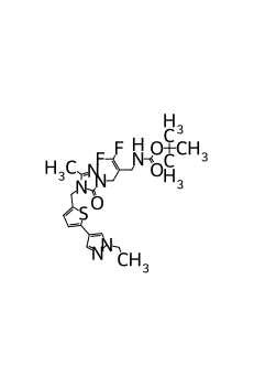 CCn1cc(-c2ccc(Cn3c(C)nn(CC(CNC(=O)OC(C)(C)C)=C(F)F)c3=O)s2)cn1